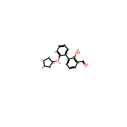 O=Cc1cccc(-c2ccccc2OC2CCCC2)c1O